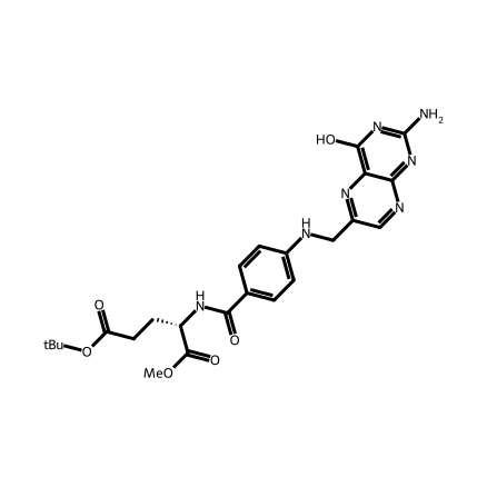 COC(=O)[C@H](CCC(=O)OC(C)(C)C)NC(=O)c1ccc(NCc2cnc3nc(N)nc(O)c3n2)cc1